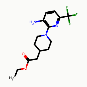 CCOC(=O)CC1CCN(c2nc(C(F)(F)F)ccc2N)CC1